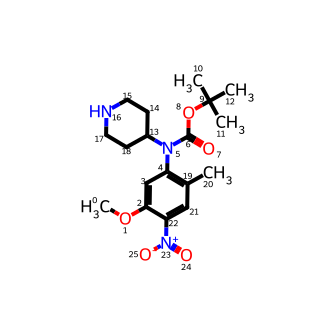 COc1cc(N(C(=O)OC(C)(C)C)C2CCNCC2)c(C)cc1[N+](=O)[O-]